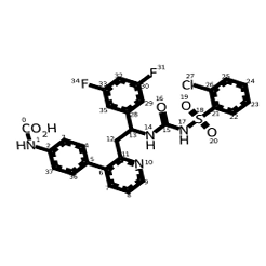 O=C(O)Nc1ccc(-c2cccnc2CC(NC(=O)NS(=O)(=O)c2ccccc2Cl)c2cc(F)cc(F)c2)cc1